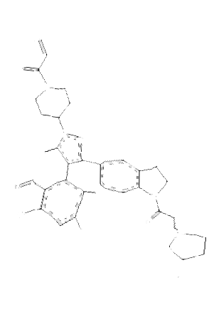 C=CC(=O)N1CCC(n2nc(-c3ccc4c(c3)CCN4C(=N)CN3CC[C@H](F)C3)c(-c3c(Cl)c(C)cc(N)c3C=N)c2C)CC1